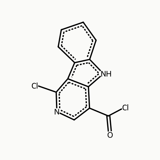 O=C(Cl)c1cnc(Cl)c2c1[nH]c1ccccc12